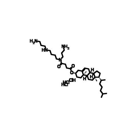 CC(C)CCCC(C)[C@H]1CC[C@H]2[C@@H]3CC=C4C[C@@H](OC(=O)CCC(=O)N(CCCN)CCCCNCCCN)CC[C@]4(C)[C@H]3CC[C@]12C.Cl.Cl.Cl